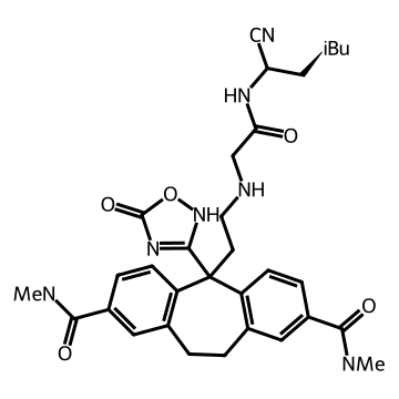 CC[C@H](C)CC(C#N)NC(=O)CNCCC1(c2nc(=O)o[nH]2)c2ccc(C(=O)NC)cc2CCc2cc(C(=O)NC)ccc21